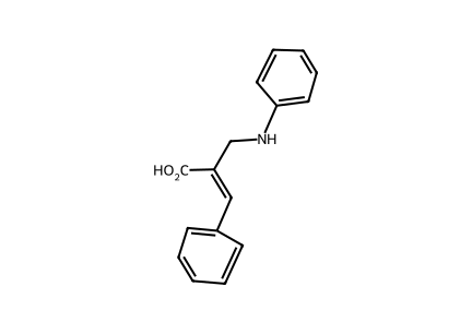 O=C(O)/C(=C\c1ccccc1)CNc1ccccc1